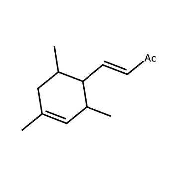 CC(=O)/C=C/C1C(C)C=C(C)CC1C